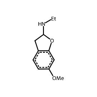 CCNC1Cc2ccc(OC)cc2O1